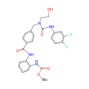 CC(C)(C)OC(=O)Nc1ccccc1NC(=O)c1ccc(CN(CCO)C(=O)Nc2ccc(F)c(F)c2)cc1